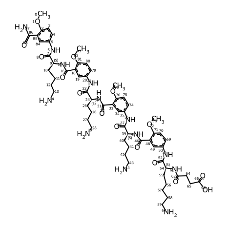 COc1ccc(NC(=O)[C@H](CCCCN)NC(=O)c2cc(NC(=O)[C@H](CCCCN)NC(=O)c3cc(NC(=O)[C@H](CCCCN)NC(=O)c4cc(NC(=O)[C@H](CCCCCN)NC(=O)CCC(=O)O)ccc4OC)ccc3OC)ccc2OC)cc1C(N)=O